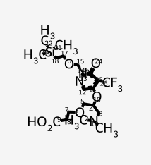 CN(C)CC(COCCC(=O)O)Oc1cnn(COCC[Si](C)(C)C)c(=O)c1C(F)(F)F